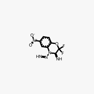 N=NN1C(=N)C(F)(F)Oc2ccc([N+](=O)[O-])cc21